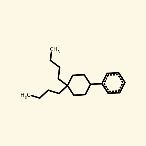 CCCCC1(CCCC)CCC(c2ccccc2)CC1